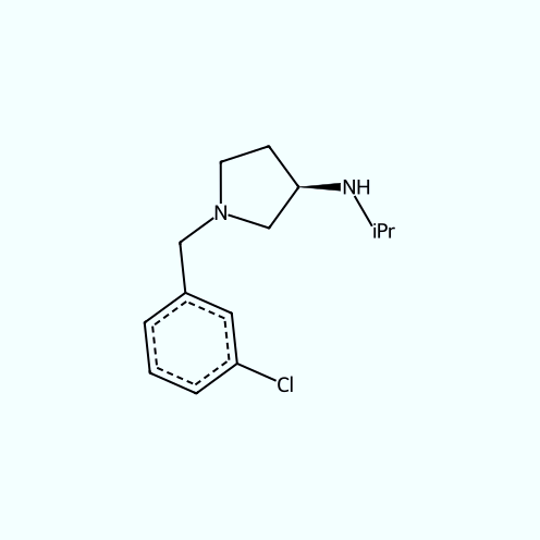 CC(C)N[C@@H]1CCN(Cc2cccc(Cl)c2)C1